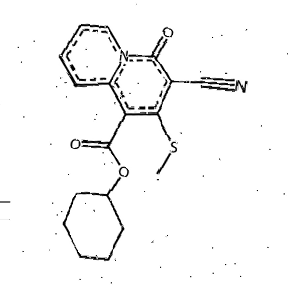 CSc1c(C#N)c(=O)n2ccccc2c1C(=O)OC1CCCCC1